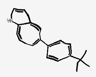 CC(C)(C)c1ccc(-c2ccc3[nH]ccc3c2)cc1